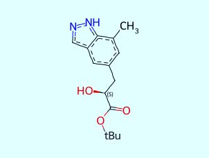 Cc1cc(C[C@H](O)C(=O)OC(C)(C)C)cc2cn[nH]c12